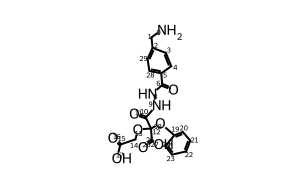 NCc1ccc(C(=O)NNC(=O)C(OCC(=O)O)(Oc2ccccc2)C(=O)O)cc1